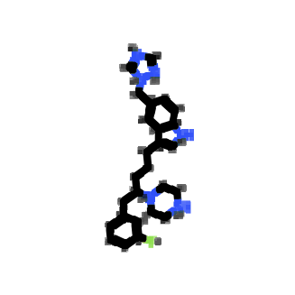 Fc1cccc(CC(CCCc2c[nH]c3ccc(Cn4cncn4)cc23)N2CCNCC2)c1